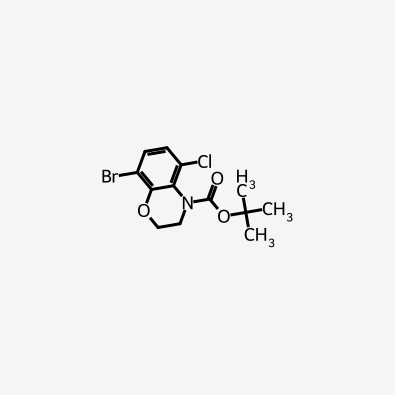 CC(C)(C)OC(=O)N1CCOc2c(Br)ccc(Cl)c21